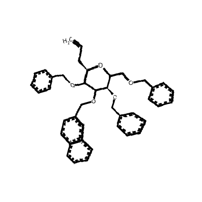 C=CC[C@H]1OC(COCc2ccccc2)[C@@H](OCc2ccccc2)C(OCc2ccc3ccccc3c2)C1OCc1ccccc1